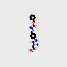 O=C(O)CNC(=O)Nc1ccc(C=NNC(=O)OCc2ccccc2)cc1